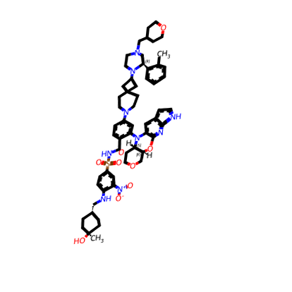 Cc1ccccc1[C@@H]1CN(CC2CCOCC2)CCN1C1CC2(CCN(c3ccc(C(=O)NS(=O)(=O)c4ccc(NC[C@H]5CC[C@](C)(O)CC5)c([N+](=O)[O-])c4)c(N4c5cc6cc[nH]c6nc5O[C@H]5COCC[C@@H]54)c3)CC2)C1